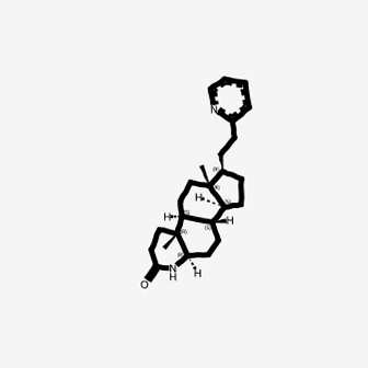 C[C@]12CCC(=O)N[C@@H]1CC[C@@H]1[C@@H]2CC[C@]2(C)[C@@H](CCc3ccccn3)CC[C@@H]12